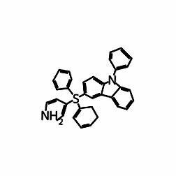 C/C=C(\C=C/N)S(C1=CC=CCC1)(c1ccccc1)c1ccc2c(c1)c1ccccc1n2-c1ccccc1